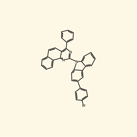 Brc1ccc(-c2ccc3c(c2)c2ccccc2n3-c2nc(-c3ccccc3)c3ccc4ccccc4c3n2)cc1